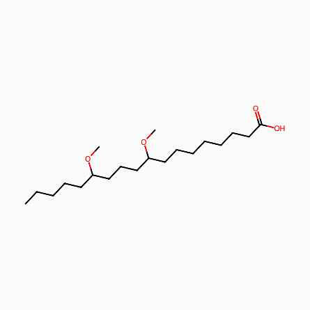 CCCCCC(CCCC(CCCCCCCC(=O)O)OC)OC